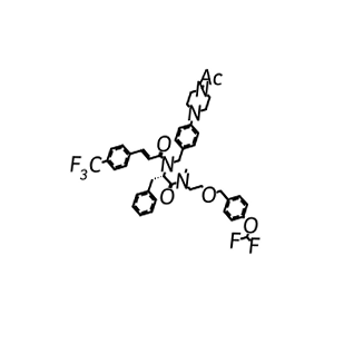 CC(=O)N1CCN(c2ccc(CN(C(=O)C=Cc3ccc(C(F)(F)F)cc3)[C@@H](Cc3ccccc3)C(=O)N(C)CCOCc3ccc(OC(F)F)cc3)cc2)CC1